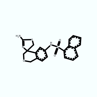 NC1=NC2(COCc3ccc(NS(=O)(=O)c4cccc5ccccc45)cc32)CS1